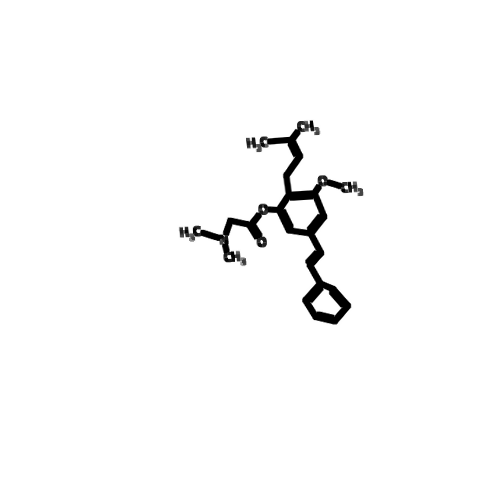 COc1cc(/C=C/c2ccccc2)cc(OC(=O)CN(C)C)c1CC=C(C)C